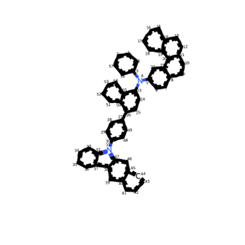 c1ccc(N(c2ccc3ccc4ccc5ccccc5c4c3c2)c2ccc(-c3ccc(-n4c5ccccc5c5cc6ccccc6cc54)cc3)c3ccccc23)cc1